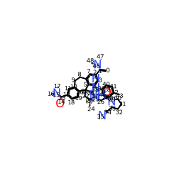 C=C(c1ccc2c(c1)CCc1cc(C(=O)N(C)C)ccc1C2(C[C@H](C)NCC(=O)N1CCCC1C#N)C(=N)Nc1ccc(C)cc1)N(C)C